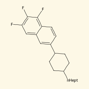 CCCCCCCC1CCC(c2ccc3c(F)c(F)c(F)cc3c2)CC1